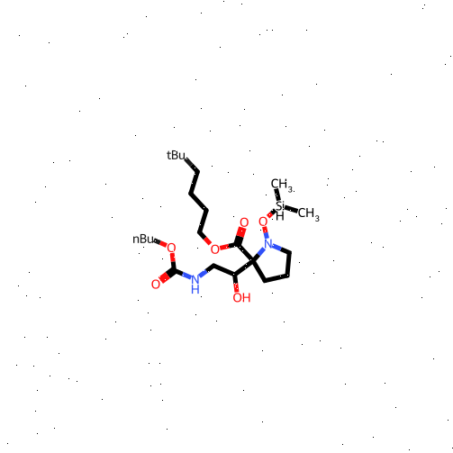 CCCCOC(=O)NCC(O)C1(C(=O)OCCCCC(C)(C)C)CCCN1O[SiH](C)C